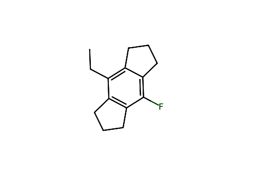 CCc1c2c(c(F)c3c1CCC3)CCC2